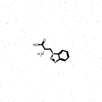 N[C@@H](Cn1nnc2ccccc21)C(=O)O